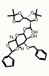 CC1(C)OC[C@H]([C@@H]2OC(C)(C)O[C@H]2C(O)O[C@@H]2O[C@@H]3COC(c4ccccc4)O[C@H]3[C@H](OCc3ccccc3)[C@@H]2O)O1